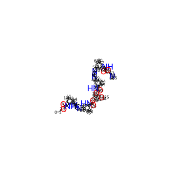 CCCOC(=O)NC1CC(C)(C)CC(C)(CN=C=NCC2(C)CC(NC(=O)OCC(CC)(COCC)COC(=O)NC3CC(C)(C)CC(C)(CN=C=NCC4(C)CC(NC(=O)OCCN5CC5)CC(C)(C)C4)C3)CC(C)(C)C2)C1